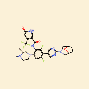 C[C@H]1CN(c2cc(F)c(-c3cnc(N4CC5CCC(C4)O5)nc3)c(F)c2NC(=O)c2c[nH]c(=O)cc2C(F)(F)F)CCN1C